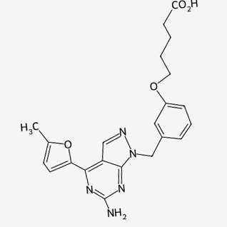 Cc1ccc(-c2nc(N)nc3c2cnn3Cc2cccc(OCCCCC(=O)O)c2)o1